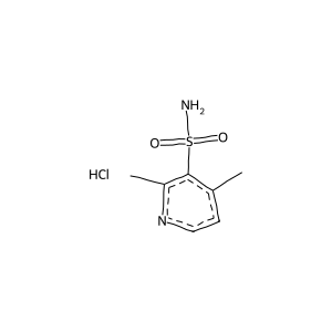 Cc1ccnc(C)c1S(N)(=O)=O.Cl